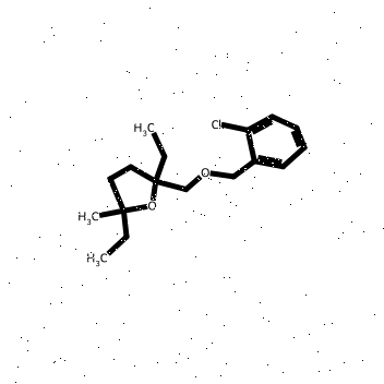 CCC1(C)CCC(CC)(COCc2ccccc2Cl)O1